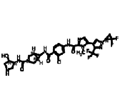 Cn1c(-c2cn([C@H]3CC3(F)F)nc2C(F)(F)F)cnc1C(=O)Nc1ccc(C(=O)NC2[C@H]3CN(C(=O)N[C@@H]4CNC[C@H]4O)C[C@@H]23)c(Cl)c1